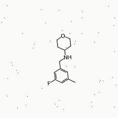 Cc1cc(F)cc(CNC2CCOCC2)c1